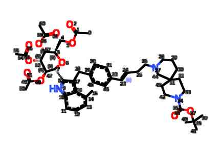 CC(=O)OC[C@H]1O[C@H](c2[nH]c3cccc(C)c3c2Cc2ccc(/C=C/CCN3CCCC4(CCN(C(=O)OC(C)(C)C)CC4)C3)cc2)[C@@H](OC(C)=O)[C@H](OC(C)=O)[C@@H]1OC(C)=O